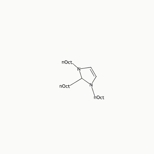 CCCCCCCCC1N(CCCCCCCC)C=CN1CCCCCCCC